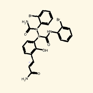 NC(=O)/C=C/c1cccc(N(C(=O)Nc2ccccc2Br)N(C(N)=O)c2ccccc2Br)c1O